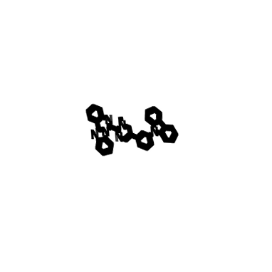 CN1CC(c2cccc(-n3c4ccccc4c4ccccc43)c2)=CN=C1c1nc2ccccc2c2nc3ccccc3n12